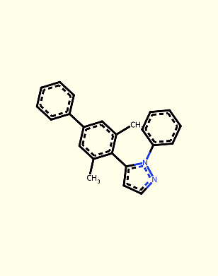 Cc1cc(-c2ccccc2)cc(C)c1-c1ccnn1-c1ccccc1